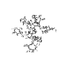 C[C@@](CCCNC(=N)N)(NC(=O)C(OC(=O)C(F)(F)F)n1c(CCc2ccccc2)ccc(NS(=O)(=O)Cc2ccccc2)c1=O)c1ncc[s+]1[O-]